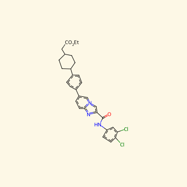 CCOC(=O)CC1CCC(c2ccc(-c3ccc4nc(C(=O)Nc5ccc(Cl)c(Cl)c5)cn4c3)cc2)CC1